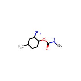 CC(C)(C)NC(=O)OC1CCC(C(F)(F)F)CC1N